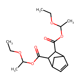 CCOC(C)OC(=O)C1C2C=CC(C2)C1C(=O)OC(C)OCC